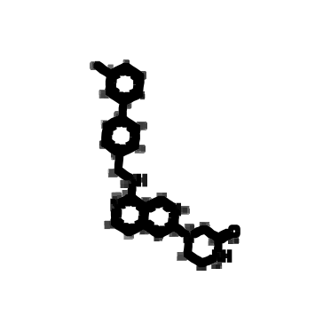 Cc1cccc(-c2ccc(CNc3nccc4cc(N5CCNC(=O)C5)ncc34)cc2)c1